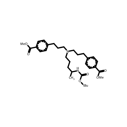 COC(=O)c1ccc(CCCN(CCCc2ccc(C(=O)OC)cc2)CCCC(C)NC(=O)OC(C)(C)C)cc1